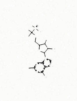 CCOC(=O)C(I)(OCC1OC(n2cnc3c(N)nc(Cl)nc32)C(O)C1O)P(=O)(O)O